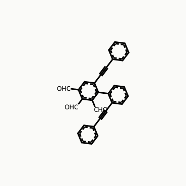 O=Cc1cc(C#Cc2ccccc2)c(-c2ccccc2C#Cc2ccccc2)c(C=O)c1C=O